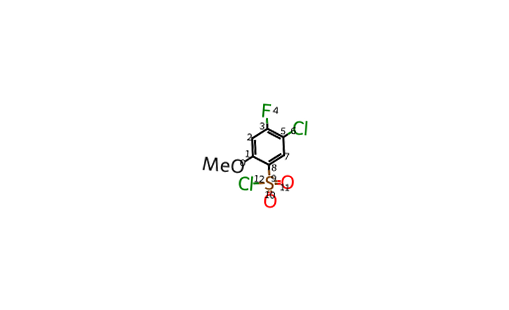 COc1cc(F)c(Cl)cc1S(=O)(=O)Cl